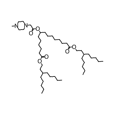 CCCCCC(CCCCC)CCOC(=O)CCCCCCCC(CCCCCC(=O)OCCC(CCCCC)CCCCC)OC(=O)CN1CCN(C)CC1